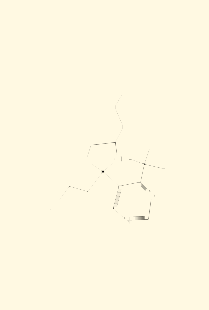 CCCC1COC(CCC)(c2cncnc2C(F)(F)Cl)O1